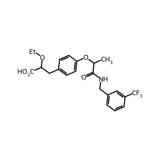 CCOC(Cc1ccc(OC(C)C(=O)NCc2cccc(C(F)(F)F)c2)cc1)C(=O)O